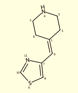 C(=C1CCNCC1)c1cscn1